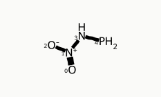 O=[N+]([O-])NP